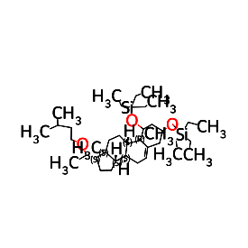 CC[Si](CC)(CC)OC1CC2=CC[C@H]3[C@@H]4CC[C@H](C(C)OCCC(C)C)[C@@]4(C)CC[C@@H]3[C@@]2(C)C(O[Si](CC)(CC)CC)C1